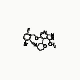 C=C1N=Nc2ncc(OCc3c(F)ccc(Br)c3C#N)c(C3CCCCO3)c21